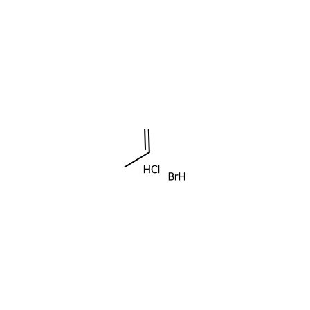 Br.C=CC.Cl